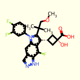 COCC(C)(C)c1c([C@H]2C[C@](O)(C(=O)O)C2)c2c(F)c3[nH]ncc3cc2n1-c1ccc(F)c(F)c1